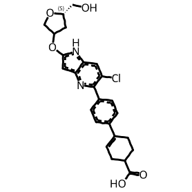 O=C(O)C1CC=C(c2ccc(-c3nc4cc(OC5CO[C@H](CO)C5)[nH]c4cc3Cl)cc2)CC1